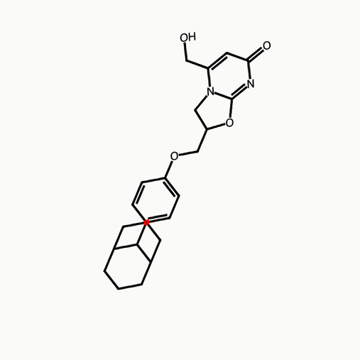 O=c1cc(CO)n2c(n1)OC(COc1ccc(C3C4CCCC3CCC4)cc1)C2